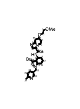 COCCOc1ccn2c(C(=O)Nc3cccc4c3c(Br)nn4Cc3ccc(C)nc3)cnc2c1